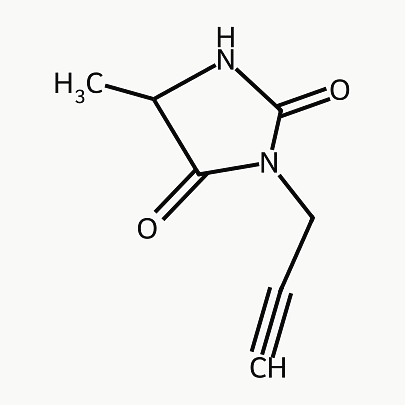 C#CCN1C(=O)NC(C)C1=O